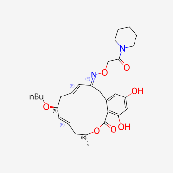 CCCCO[C@@H]1/C=C/C[C@@H](C)OC(=O)c2c(O)cc(O)cc2CC(=N\OCC(=O)N2CCCCC2)/C=C/C1